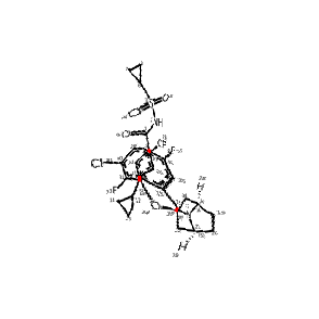 O=C(NS(=O)(=O)C1CC1)c1cc(C2CC2)c(CN2[C@@H]3CC[C@H]2C[C@@H](Oc2cc(C(F)(F)F)cc(Cl)c2F)C3)cc1F